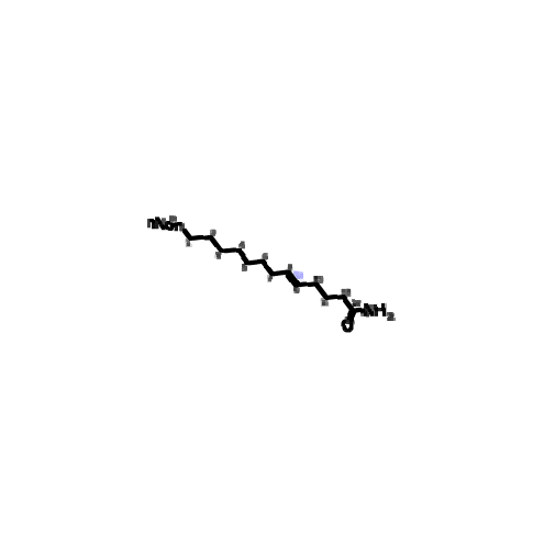 CCCCCCCCCCCCCCCC/C=C/CCCC(N)=O